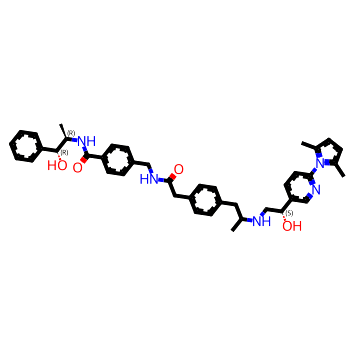 Cc1ccc(C)n1-c1ccc([C@H](O)CNC(C)Cc2ccc(CC(=O)NCc3ccc(C(=O)N[C@H](C)[C@H](O)c4ccccc4)cc3)cc2)cn1